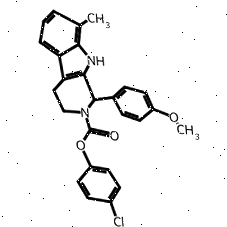 COc1ccc(C2c3[nH]c4c(C)cccc4c3CCN2C(=O)Oc2ccc(Cl)cc2)cc1